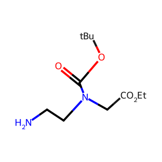 CCOC(=O)CN(CCN)C(=O)OC(C)(C)C